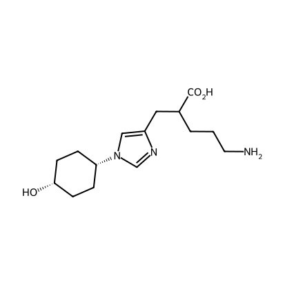 NCCCC(Cc1cn([C@H]2CC[C@@H](O)CC2)cn1)C(=O)O